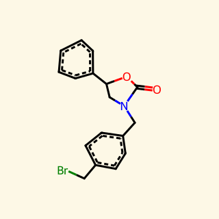 O=C1OC(c2ccccc2)CN1Cc1ccc(CBr)cc1